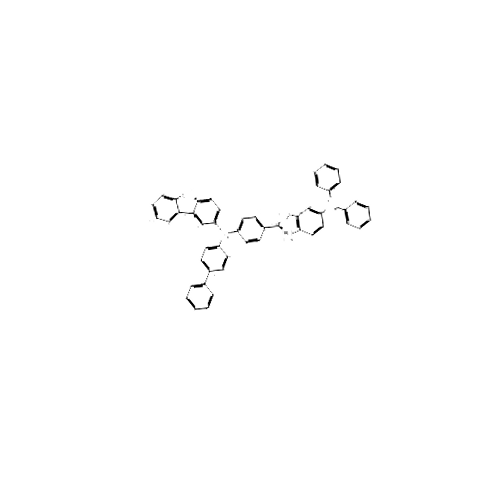 c1ccc(-c2ccc(N(c3ccc(-c4nc5ccc(N(c6ccccc6)c6ccccc6)cc5o4)cc3)c3ccc4oc5ccccc5c4c3)cc2)cc1